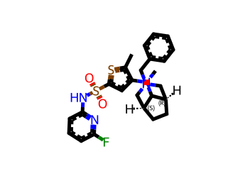 Cc1sc(S(=O)(=O)Nc2cccc(F)n2)cc1N(C)C1[C@@H]2CC[C@H]1CN(Cc1ccccc1)C2